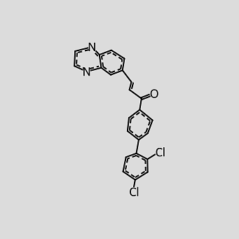 O=C(C=Cc1ccc2nccnc2c1)c1ccc(-c2ccc(Cl)cc2Cl)cc1